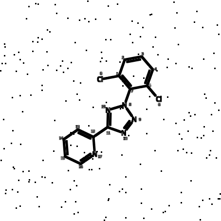 Clc1cccc(Cl)c1-n1nnc(-c2ccccn2)n1